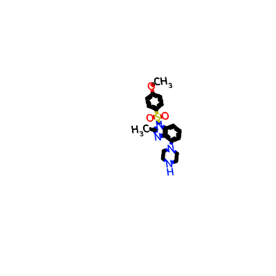 COc1ccc(S(=O)(=O)n2c(C)nc3c(N4CCNCC4)cccc32)cc1